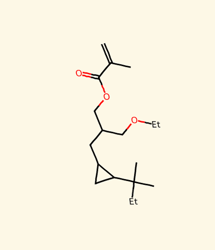 C=C(C)C(=O)OCC(COCC)CC1CC1C(C)(C)CC